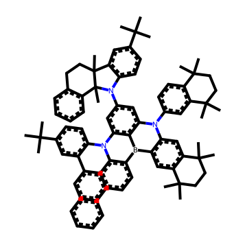 CC(C)(C)c1ccc(N2c3cc(-c4ccccc4)ccc3B3c4cc5c(cc4N(c4ccc6c(c4)C(C)(C)CCC6(C)C)c4cc(N6c7ccc(C(C)(C)C)cc7C7(C)CCc8ccccc8C67C)cc2c43)C(C)(C)CCC5(C)C)c(-c2ccccc2)c1